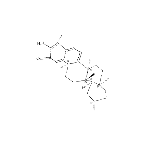 CC1=C(N)C(=O)C=C2C1=CC=C1[C@@]2(C)CC[C@@]2(C)[C@@H]3C[C@@H](C)CC[C@]3(C)CC[C@]12C